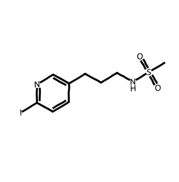 CS(=O)(=O)NCCCc1ccc(I)nc1